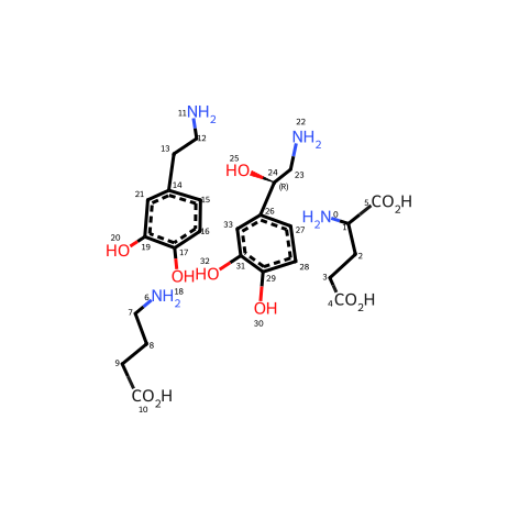 NC(CCC(=O)O)C(=O)O.NCCCC(=O)O.NCCc1ccc(O)c(O)c1.NC[C@H](O)c1ccc(O)c(O)c1